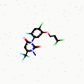 Cn1c(C(F)(F)F)cc(=O)n(-c2cc(OCC=C(Cl)Cl)c(Cl)cc2F)c1=O